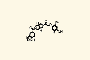 Cc1cc(OCC(=O)N2C[C@@H]3CN(C(=O)[C@@H]4CCc5[nH]nnc5C4)C[C@H]3C2)c(C(C)C)cc1C#N